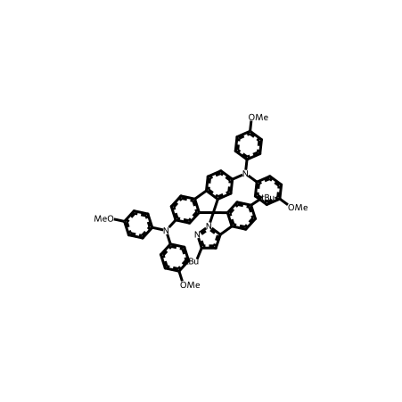 COc1ccc(N(c2ccc(OC)cc2)c2ccc3c(c2)C2(c4cc(N(c5ccc(OC)cc5)c5ccc(OC)cc5)ccc4-3)c3cc(C(C)(C)C)ccc3-c3cc(C(C)(C)C)nn32)cc1